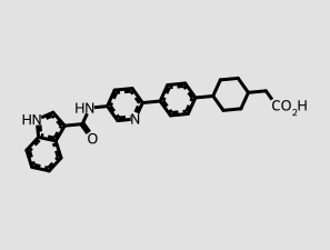 O=C(O)CC1CCC(c2ccc(-c3ccc(NC(=O)c4c[nH]c5ccccc45)cn3)cc2)CC1